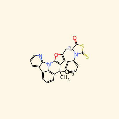 CC1(C)c2cc(/C=C3/C(=O)SC(=S)N3c3ccccc3)oc2-n2c3ncccc3c3cccc1c32